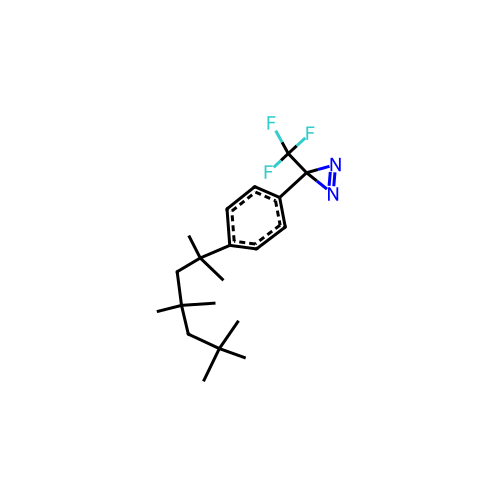 CC(C)(C)CC(C)(C)CC(C)(C)c1ccc(C2(C(F)(F)F)N=N2)cc1